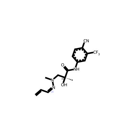 C=C/C=N\N(C)C[C@](C)(O)C(=O)Nc1ccc(C#N)c(C(F)(F)F)c1